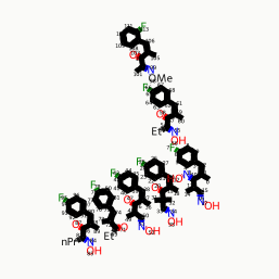 CC(=Cc1ccc(F)cc1)C(=NO)C(C)C=NO.CC(=Cc1ccc(F)cc1)C(=O)C(C)(C)C=NO.CC(=Cc1ccc(F)cc1)C(=O)C(C)C=NO.CCC(=NO)C(=O)C(C)=Cc1ccc(F)cc1.CCC(=O)/C(C)=C/c1ccc(F)cc1.CCCC(=NO)C(=O)C(C)=Cc1ccc(F)cc1.CON=C(C)C(=O)C(C)=Cc1ccccc1F